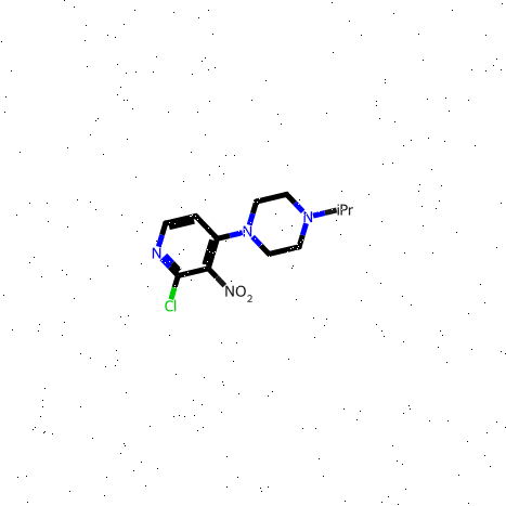 CC(C)N1CCN(c2ccnc(Cl)c2[N+](=O)[O-])CC1